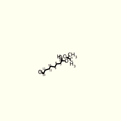 CC(C)(C)OC(=O)CCCCCCC=O